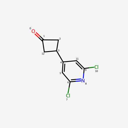 O=C1CC(c2cc(Cl)nc(Cl)c2)C1